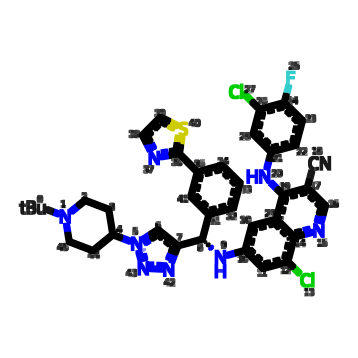 CC(C)(C)N1CCC(n2cc([C@@H](Nc3cc(Cl)c4ncc(C#N)c(Nc5ccc(F)c(Cl)c5)c4c3)c3cccc(-c4nccs4)c3)nn2)CC1